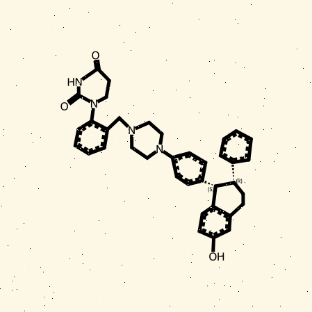 O=C1CCN(c2ccccc2CN2CCN(c3ccc([C@H]4c5ccc(O)cc5CC[C@H]4c4ccccc4)cc3)CC2)C(=O)N1